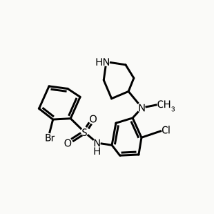 CN(c1cc(NS(=O)(=O)c2ccccc2Br)ccc1Cl)C1CCNCC1